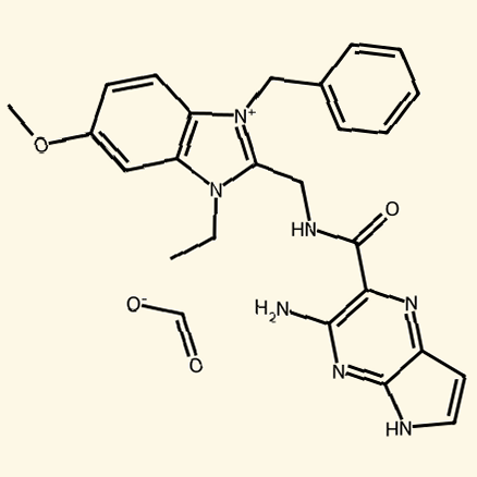 CCn1c(CNC(=O)c2nc3cc[nH]c3nc2N)[n+](Cc2ccccc2)c2ccc(OC)cc21.O=C[O-]